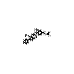 CCn1c(-c2ccncc2)nc2cnc(Nc3ccc(CNC4CC4)cc3)nc21